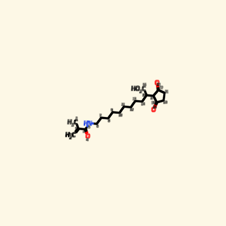 C=C(C)C(=O)NCCCCCCCCCC(C(=O)O)C1C(=O)CCC1=O